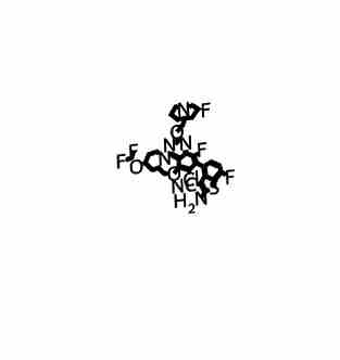 N#Cc1c(N)sc2c(F)ccc(-c3c(Cl)c4c5c(nc(OCC67CCCN6C[C@H](F)C7)nc5c3F)N3CCC(OC(F)F)CC3CO4)c12